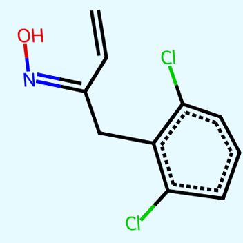 C=C/C(Cc1c(Cl)cccc1Cl)=N\O